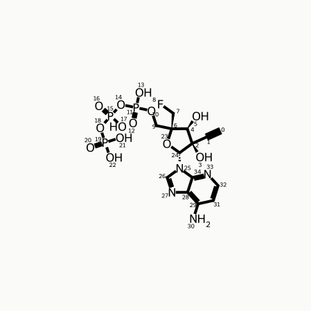 C#C[C@@]1(O)[C@H](O)[C@@](CF)(COP(=O)(O)OP(=O)(O)OP(=O)(O)O)O[C@H]1n1cnc2c(N)ccnc21